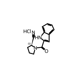 Cl.N#C[C@@H]1CCCN1C(=O)c1cc2ccccc2[nH]1